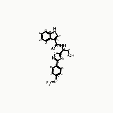 O=C(NC(CO)c1nc(-c2ccc(OC(F)(F)F)cc2)no1)c1c[nH]c2ccccc12